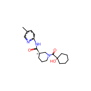 Cc1ccc(NC(=O)[C@@H]2CCCN(C(=O)C3(O)CCCCC3)C2)nc1